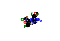 CC[C@@H](c1cc2scc(Cl)n2c(=O)c1-c1cccc(F)c1)n1nc(-c2ccc(OC(C)F)c(F)c2)c2c(N)ncnc21